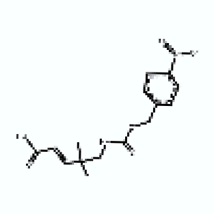 CC(C)(C=CC(=O)O)CNC(=O)OCc1ccc([N+](=O)[O-])cc1